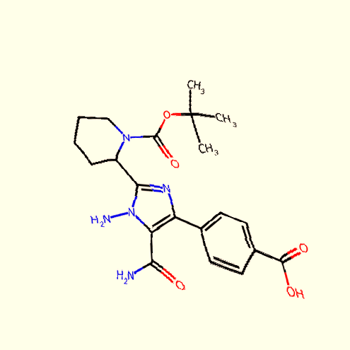 CC(C)(C)OC(=O)N1CCCCC1c1nc(-c2ccc(C(=O)O)cc2)c(C(N)=O)n1N